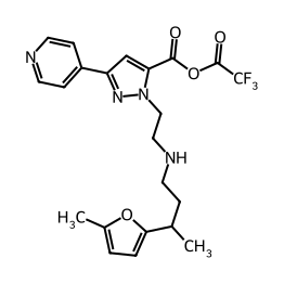 Cc1ccc(C(C)CCNCCn2nc(-c3ccncc3)cc2C(=O)OC(=O)C(F)(F)F)o1